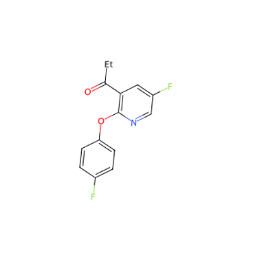 CCC(=O)c1cc(F)cnc1Oc1ccc(F)cc1